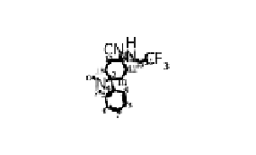 CN(C)C1(c2ccccc2)CCC(C#N)(NCC(F)(F)F)CC1